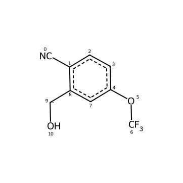 N#Cc1ccc(OC(F)(F)F)cc1[CH]O